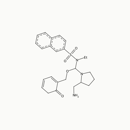 CCN(C(OCC1=CC=CCC1=O)N1CCCC1CN)S(=O)(=O)c1ccc2ccccc2c1